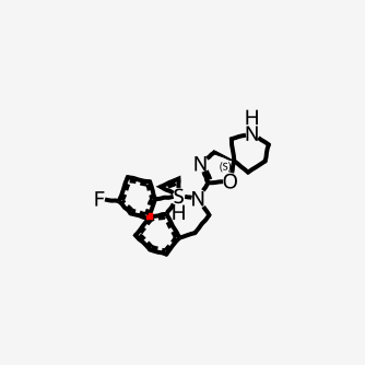 Fc1ccc([SH]23(C=C2)c2ccccc2CCN3C2=NC[C@@]3(CCCNC3)O2)cc1